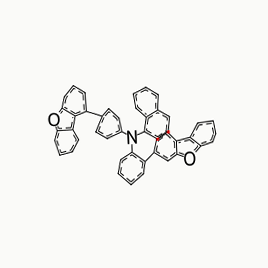 c1ccc(N(c2ccc(-c3cccc4oc5ccccc5c34)cc2)c2cccc3ccccc23)c(-c2ccc3c(c2)oc2ccccc23)c1